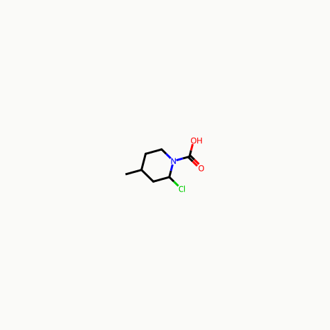 CC1CCN(C(=O)O)C(Cl)C1